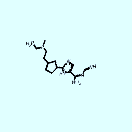 CP(CP)CCC1CCC(c2ncc(/C(N)=N\C=N)[nH]2)C1